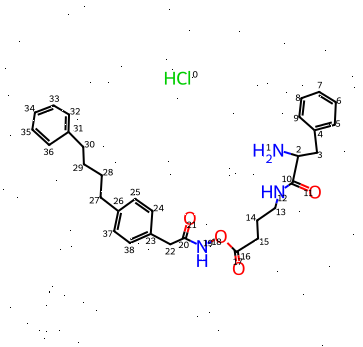 Cl.NC(Cc1ccccc1)C(=O)NCCCC(=O)ONC(=O)Cc1ccc(CCCCc2ccccc2)cc1